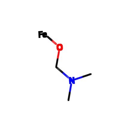 CN(C)C[O][Fe]